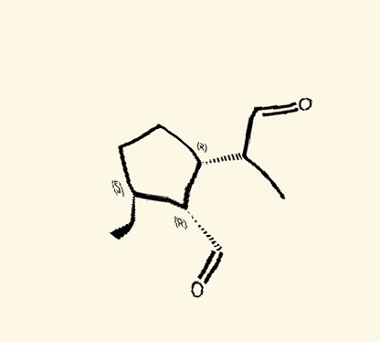 CC(C=O)[C@H]1CC[C@H](C)[C@H]1C=O